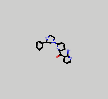 Nc1ncccc1C(=O)c1cccc(N2CCNC(c3ccccc3)C2)n1